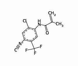 [C-]#[N+]c1cc(Cl)c(NC(=O)C(=C)C)cc1C(F)(F)F